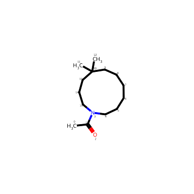 CC(=O)N1CCCCCCC(C)(C)CCC1